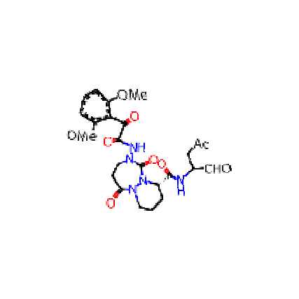 COc1cccc(OC)c1C(=O)C(=O)NN1CCC(=O)N2CCC[C@@H](C(=O)N[C@H](C=O)CC(C)=O)N2C1=O